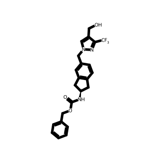 O=C(N[C@@H]1Cc2ccc(Cn3cc(CO)c(C(F)(F)F)n3)cc2C1)OCc1ccccc1